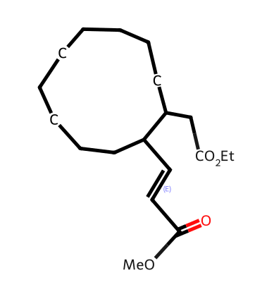 CCOC(=O)CC1CCCCCCCCCC1/C=C/C(=O)OC